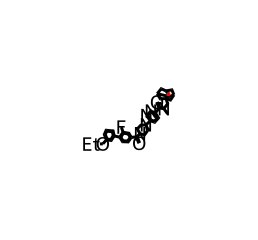 CCOc1cccc(-c2ccc(C(=O)N3CCN(c4ccc(C(=O)N(C)CC56CC7CC(CC(C7)C5)C6)nn4)CC3)cc2F)c1